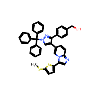 CSc1ccc(-c2cnc3ccc(-c4cn(C(c5ccccc5)(c5ccccc5)c5ccccc5)nc4-c4ccc(CO)cc4)cn23)s1